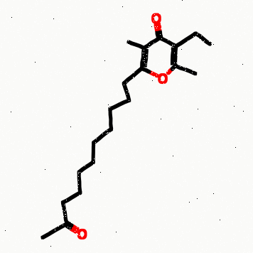 CCc1c(C)oc(CCCCCCCCCC(C)=O)c(C)c1=O